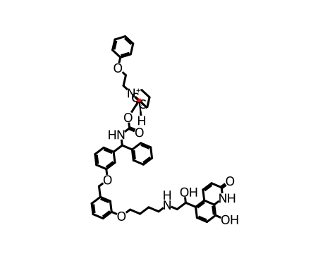 O=C(NC(c1ccccc1)c1cccc(OCc2cccc(OCCCCNCC(O)c3ccc(O)c4[nH]c(=O)ccc34)c2)c1)O[C@H]1C[N+]2(CCOc3ccccc3)CCC1CC2